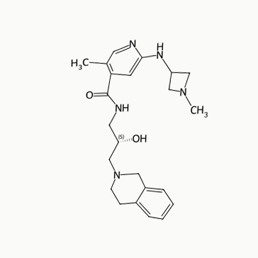 Cc1cnc(NC2CN(C)C2)cc1C(=O)NC[C@H](O)CN1CCc2ccccc2C1